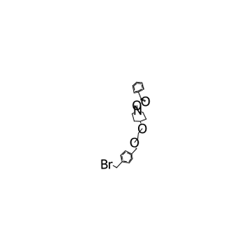 O=C(ON1CCC(OCCOCc2ccc(CBr)cc2)CC1)c1ccccc1